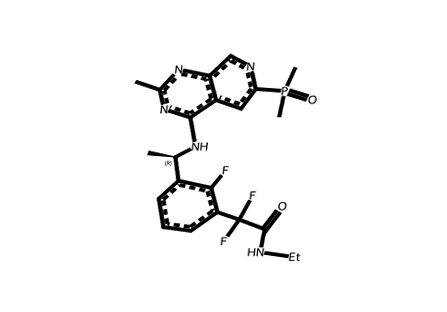 CCNC(=O)C(F)(F)c1cccc([C@@H](C)Nc2nc(C)nc3cnc(P(C)(C)=O)cc23)c1F